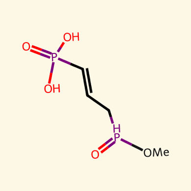 CO[PH](=O)CC=CP(=O)(O)O